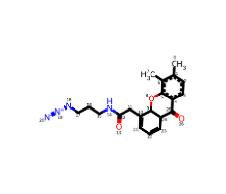 Cc1ccc2c(c1C)OC1C(CC(=O)NCCCN=[N+]=[N-])=CC=CC1C2=O